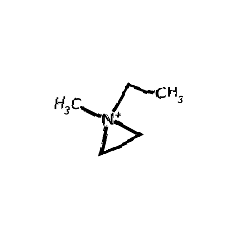 CC[N+]1(C)CC1